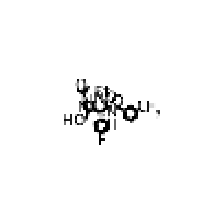 CCN1C(=O)[C@H](NC(=O)c2cccc(C(F)(F)F)c2)[C@H](c2ccc(F)cc2)c2c(CO)nn(C3COC3)c21